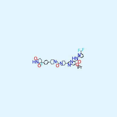 CC(C)Oc1cc2nc(C3CCN(C(=O)CN4CCC(c5ccc(C6(F)CCC(=O)NC6=O)cc5)CC4)CC3)cn2cc1C(=O)Nc1cccc(C(F)F)n1